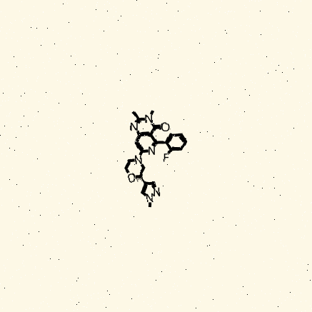 Cc1nc2cc(N3CCO[C@H](c4cnn(C)c4)C3)nc(-c3ccccc3F)c2c(=O)n1C